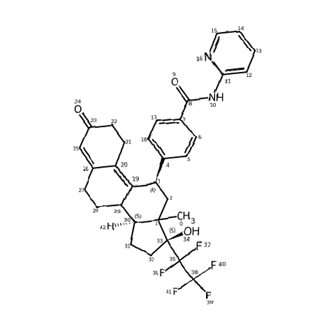 CC12C[C@H](c3ccc(C(=O)Nc4ccccn4)cc3)C3=C4CCC(=O)C=C4CCC3[C@@H]1CC[C@@]2(O)C(F)(F)C(F)(F)F